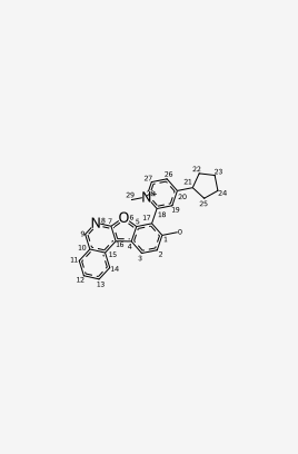 Cc1ccc2c(oc3ncc4ccccc4c32)c1-c1cc(C2CCCC2)cc[n+]1C